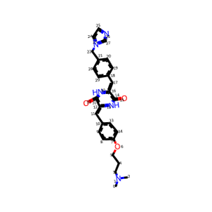 CN(C)CCCOc1ccc(C=c2[nH]c(=O)c(=Cc3ccc(Cn4ccnc4)cc3)[nH]c2=O)cc1